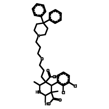 CC1NC(C)C(CCCOCCCN2CCC(c3ccccc3)(c3ccccc3)CC2)(C(=O)O)C(c2cccc(Cl)c2Cl)C1(C)C(=O)O